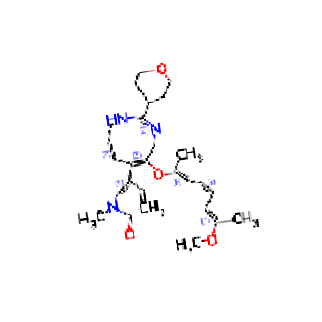 C=CC(=C\N(C)C=O)/C1=C(\O/C(C)=C/C=C\C=C(/C)OC)C/N=C(/C2CCOCC2)NC/C=C\1